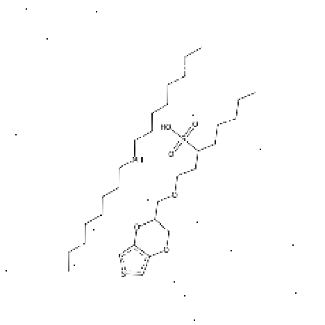 CCCCCC(CCOCC1COc2cscc2O1)S(=O)(=O)O.CCCCCCCCNCCCCCCCC